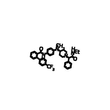 CCNC(=O)C(c1ccccc1)N1CCC(N(C)c2ccc(NC(=O)c3ccccc3-c3ccc(C(F)(F)F)cc3)cc2)CC1